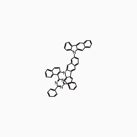 c1ccc(-c2nc(-c3ccccc3)nc(-c3c(-n4c5ccccc5c5cc6ccc(-n7c8ccccc8c8cc9ccccc9cc87)cc6cc54)ccc4ccccc34)n2)cc1